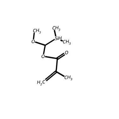 C=C(C)C(=O)OC(OC)[SiH](C)C